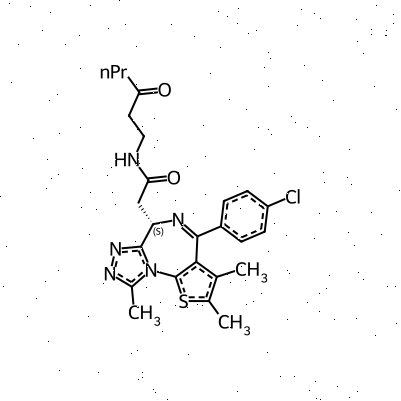 CCCC(=O)CCNC(=O)C[C@@H]1N=C(c2ccc(Cl)cc2)c2c(sc(C)c2C)-n2c(C)nnc21